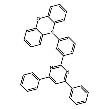 c1ccc(-c2cc(-c3ccccc3)nc(-c3cccc(N4c5ccccc5Oc5ccccc54)c3)n2)cc1